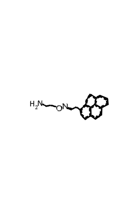 NCCON=CCc1ccc2ccc3cccc4ccc1c2c34